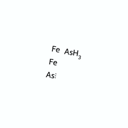 [AsH3].[As].[Fe].[Fe]